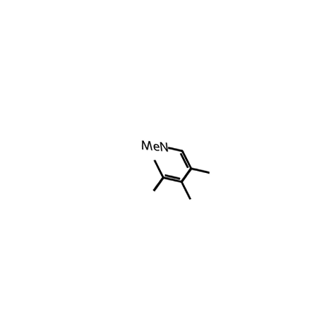 CNC=C(C)C(C)=C(C)C